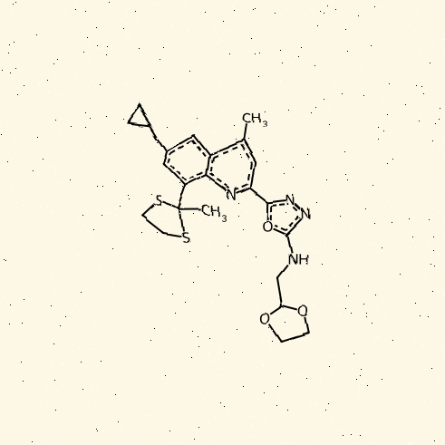 Cc1cc(-c2nnc(NCC3OCCO3)o2)nc2c(C3(C)SCCS3)cc(C3CC3)cc12